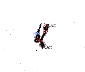 CCCCCCCCCCCCCCCCCCNC1CC(C)(C)N(OC2CCCCC2)C(C)(C)C1.CCCCCCCCON1C(C)(C)CC(OC(=O)CCCCCCCCC(=O)OC2CC(C)(C)N(OCCCCCCCC)C(C)(C)C2)CC1(C)C